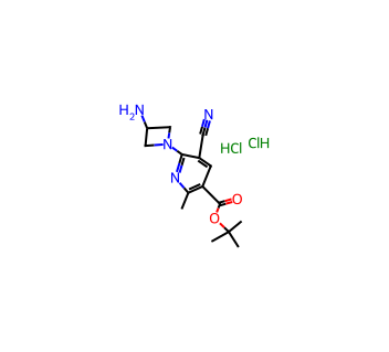 Cc1nc(N2CC(N)C2)c(C#N)cc1C(=O)OC(C)(C)C.Cl.Cl